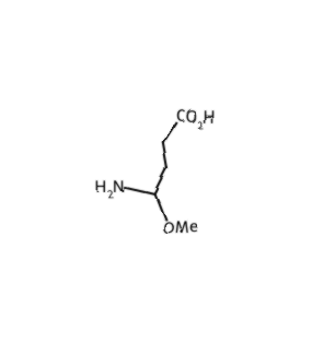 COC(N)CCC(=O)O